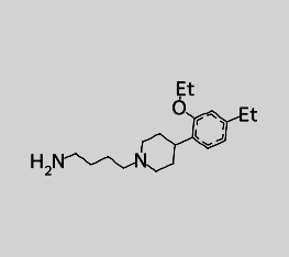 CCOc1cc(CC)ccc1C1CCN(CCCCN)CC1